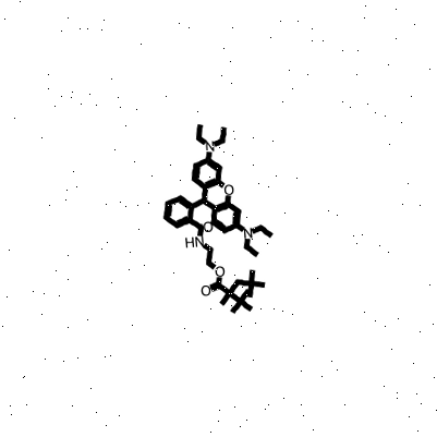 CCN(CC)c1ccc2c(c1)Oc1cc(N(CC)CC)ccc1C2c1ccccc1C(=O)NCCOC(=O)C(C)(CC(C)(C)C)C(C)(C)C